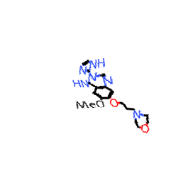 COc1cc2c(=N)n(-c3ncc[nH]3)cnc2cc1OCCCN1CCOCC1